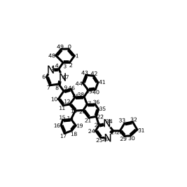 c1ccc(-c2nccc(-c3ccc4c(-c5ccccc5)c5cc(-c6ccnc(-c7ccccc7)n6)ccc5c(-c5ccccc5)c4c3)n2)cc1